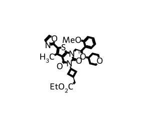 CCOC(=O)C[C@H]1C[C@@H](n2c(=O)c3c(C)c(-c4ncco4)sc3n(C[C@H](OC3CCOCC3)c3ccccc3OC)c2=O)C1